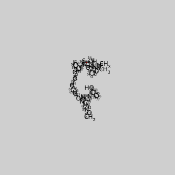 C=CC(=O)N1CCN(c2nc(OCCN3CCC(OCCOCCOc4ccc(-c5csc([C@@H]6CCCN6C(=O)[C@@H](NC(=O)[C@H](C)NC)C6CCCCC6)n5)c5ccccc45)CC3)nc3c2CCN(c2cc(O)cc4ccccc24)C3)CC1